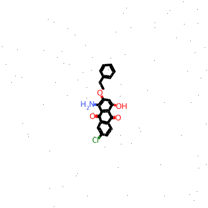 Nc1c(OCCc2ccccc2)cc(O)c2c1C(=O)c1cc(Cl)ccc1C2=O